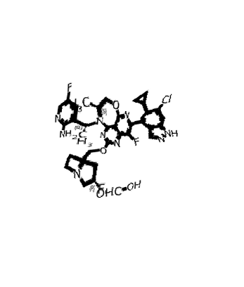 C[C@H](c1cc(F)cnc1N)N1c2nc(OCC34CCN3C[C@H](F)C4)nc3c(F)c(-c4c(C5CC5)c(Cl)cc5[nH]ncc45)nc(c23)OC[C@@H]1C.O=CO